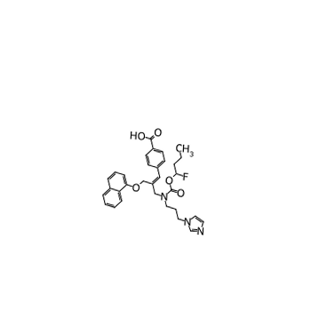 CCCC(F)OC(=O)N(CCCn1ccnc1)CC(=Cc1ccc(C(=O)O)cc1)COc1cccc2ccccc12